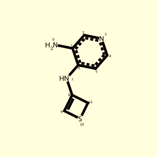 Nc1cnccc1NC1=CSC1